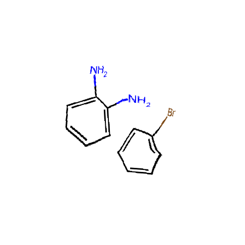 Brc1ccccc1.Nc1ccccc1N